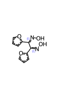 O/N=C(\C(=N/O)c1ccco1)c1ccco1